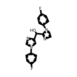 OC(c1cn(-c2ccc(F)cc2)cn1)c1nccn1-c1ccc(F)cc1